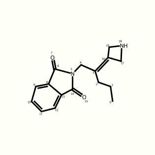 CCCC(CN1C(=O)c2ccccc2C1=O)=C1CNC1